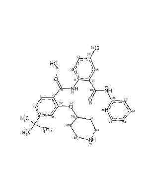 CC(C)(C)c1ccc(C(=O)Nc2ccc(Cl)cc2C(=O)Nc2ccccn2)c(OC2CCNCC2)c1.Cl